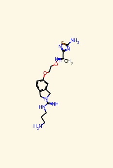 C/C(=N\OCCOc1ccc2c(c1)CN(C(=N)NCCCN)C2)c1nsc(N)n1